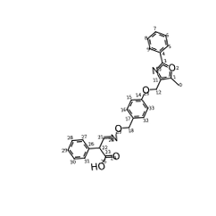 Cc1oc(-c2ccccc2)nc1COc1ccc(CON=CC(C(=O)O)c2ccccc2)cc1